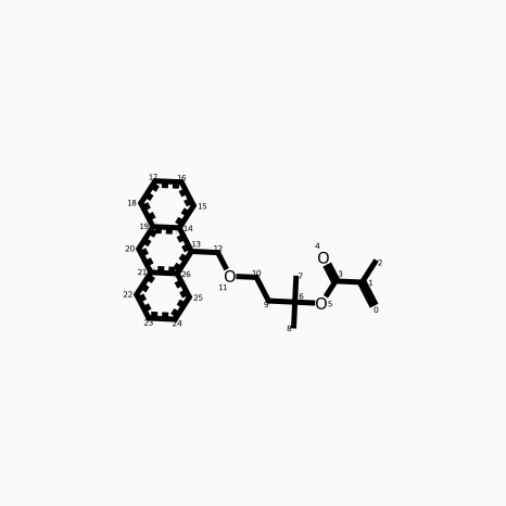 C=C(C)C(=O)OC(C)(C)CCOCc1c2ccccc2cc2ccccc12